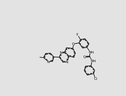 Cc1ccc(-c2cnc3ccc(Oc4cc(NC(=O)Nc5cccc(Cl)c5)ccc4F)cc3n2)cn1